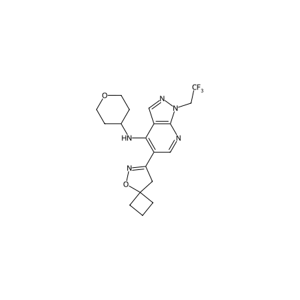 FC(F)(F)Cn1ncc2c(NC3CCOCC3)c(C3=NOC4(CCC4)C3)cnc21